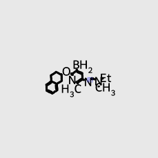 Bc1cc(/N=C/N(C)CC)c(C)nc1OC1CCc2ccccc2C1